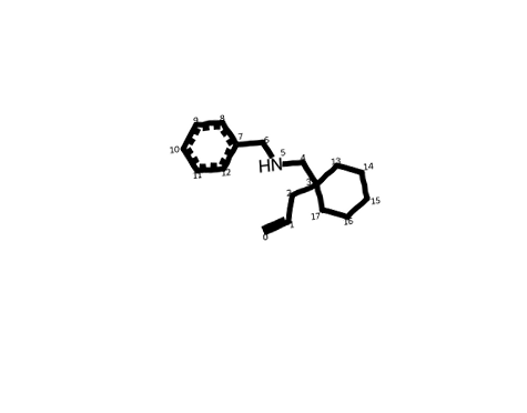 C=CCC1(CNCc2ccccc2)CCCCC1